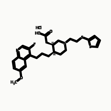 COc1ccc2ncc(F)c(CCC[C@@H]3CCN(CCSc4cccs4)C[C@@H]3CC(=O)O)c2c1.Cl